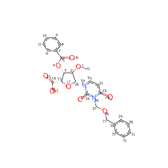 COC1[C@@H](OC(=O)c2ccccc2)[C@@H](C(=O)O)O[C@H]1n1ccc(=O)n(COCc2ccccc2)c1=O